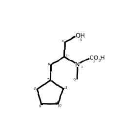 CN(C(=O)O)C(CO)CC1CCCC1